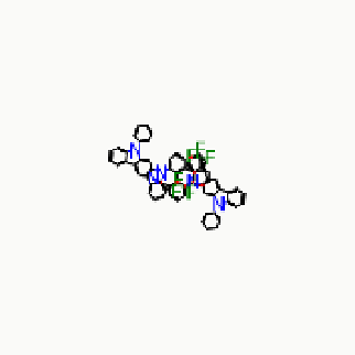 N#Cc1cccc(-n2c3ccccc3c3cc4c5ccccc5n(-c5ccccc5)c4cc32)c1-c1c(-c2c(C(F)(F)F)cccc2C(F)(F)F)cccc1-n1c2ccccc2c2cc3c4ccccc4n(-c4ccccc4)c3cc21